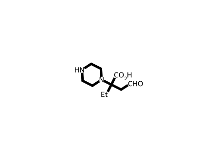 CCC(CC=O)(C(=O)O)N1CCNCC1